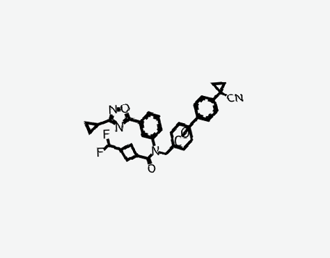 N#CC1(c2ccc(C34CCC(CN(C(=O)C5CC(C(F)F)C5)c5cccc(-c6nc(C7CC7)no6)c5)(CC3)CO4)cc2)CC1